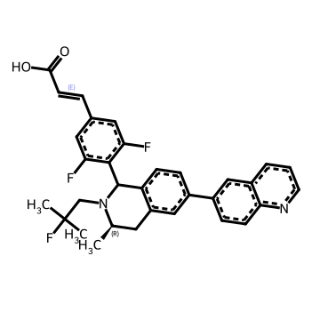 C[C@@H]1Cc2cc(-c3ccc4ncccc4c3)ccc2C(c2c(F)cc(/C=C/C(=O)O)cc2F)N1CC(C)(C)F